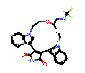 O=C1NC(=O)C2=C1c1cn(c3ccccc13)CCOC(CNC(F)(F)F)CCn1cc2c2ccccc21